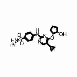 CC(C)NS(=O)(=O)c1ccc(Nc2ncc(C3CC3)c(O[C@H]3CCC[C@H]3O)n2)cc1